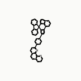 c1ccc2c(c1)-c1ccccc1C21c2cc(-c3ccc(-c4ccc5ccc6cccnc6c5n4)cc3)ccc2-c2cccc3cccc1c23